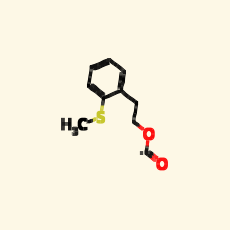 CSc1ccccc1CCO[C]=O